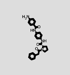 Nc1ccc(C(=O)Nc2ccc(NC(=O)[C@@H]3CCCN3C(=O)Cc3ccccc3)cc2)cc1